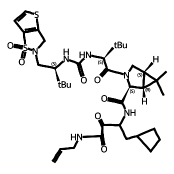 C=CCNC(=O)C(=O)C(CC1CCC1)NC(=O)[C@@H]1[C@@H]2[C@H](CN1C(=O)[C@@H](NC(=O)N[C@H](CN1Cc3sccc3S1(=O)=O)C(C)(C)C)C(C)(C)C)C2(C)C